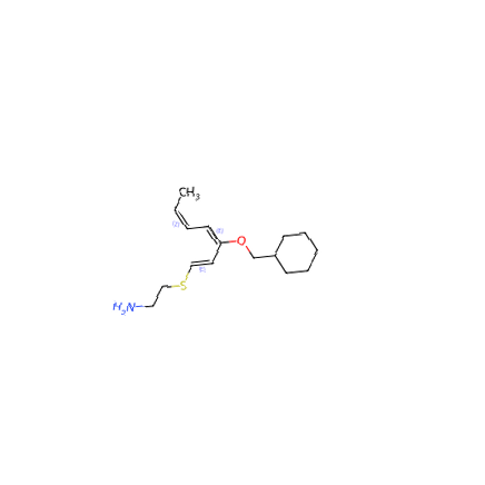 C\C=C/C=C(\C=C\SCCN)OCC1CCCCC1